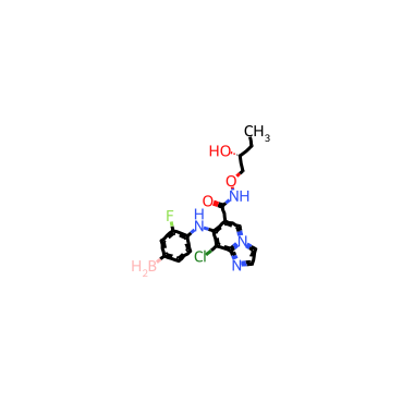 Bc1ccc(Nc2c(C(=O)NOC[C@H](O)CC)cn3ccnc3c2Cl)c(F)c1